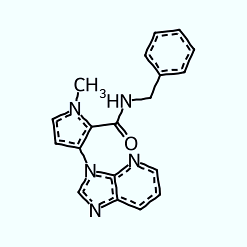 Cn1ccc(-n2cnc3cccnc32)c1C(=O)NCc1ccccc1